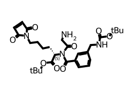 CC(C)(C)OC(=O)NCc1cccc(C(=O)N(C(=O)CN)[C@@H](CCCCN2C(=O)C=CC2=O)C(=O)OC(C)(C)C)c1